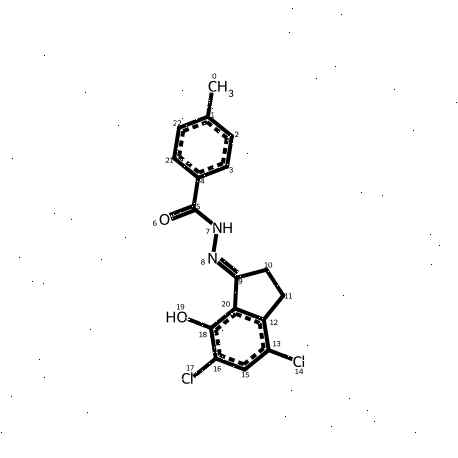 Cc1ccc(C(=O)NN=C2CCc3c(Cl)cc(Cl)c(O)c32)cc1